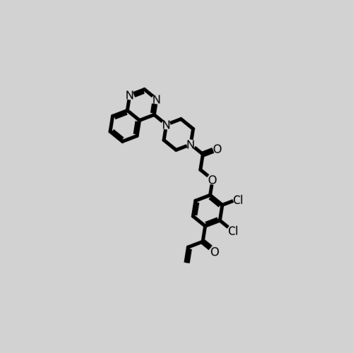 C=CC(=O)c1ccc(OCC(=O)N2CCN(c3ncnc4ccccc34)CC2)c(Cl)c1Cl